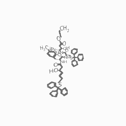 C=CCOC(=O)C[C@H](O)[C@H](NC(=O)[C@@H](CSC(c1ccccc1)(c1ccccc1)c1ccccc1)NC(=O)[C@@H](Cc1ccc(C)cc1)NC(=O)C[C@H](O)C=CCCSC(c1ccccc1)(c1ccccc1)c1ccccc1)C(C)C